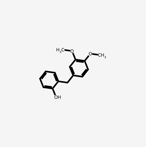 COc1ccc(Cc2ccccc2O)cc1OC